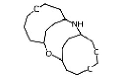 C1CCCC2CCC(CC1)NC1CCCCCCC(CC1)O2